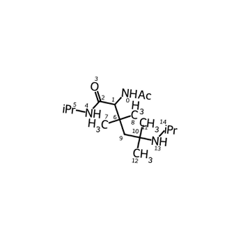 CC(=O)NC(C(=O)NC(C)C)C(C)(C)CC(C)(C)NC(C)C